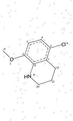 COc1ccc(Cl)c2c1NCCC2